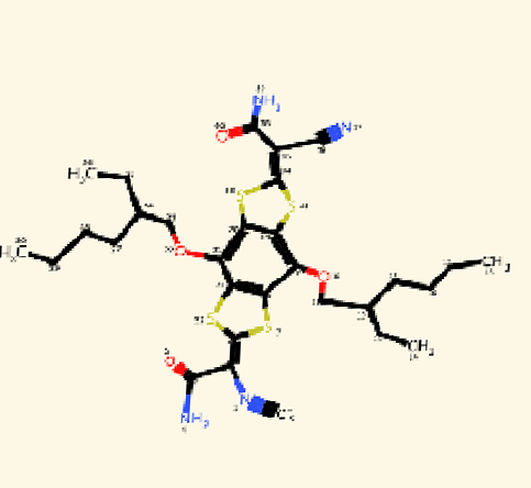 [C-]#[N+]C(C(N)=O)=C1Sc2c(OCC(CC)CCCC)c3c(c(OCC(CC)CCCC)c2S1)SC(=C(C#N)C(N)=O)S3